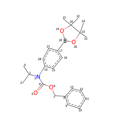 CC(C)N(C(=O)OCc1ccccc1)c1ccc(B2OC(C)(C)C(C)(C)O2)cc1